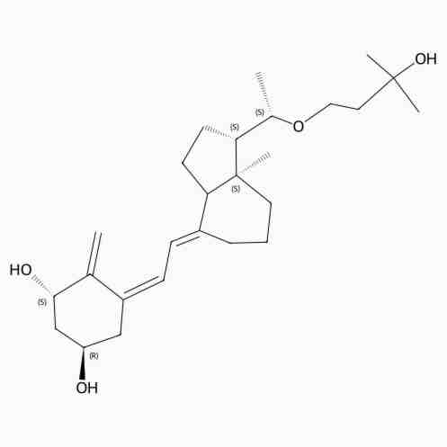 C=C1C(=CC=C2CCC[C@@]3(C)C2CC[C@@H]3[C@H](C)OCCC(C)(C)O)C[C@@H](O)C[C@@H]1O